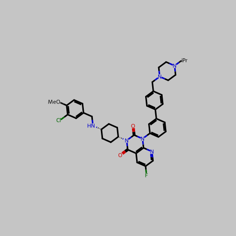 COc1ccc(CN[C@H]2CC[C@@H](n3c(=O)c4cc(F)cnc4n(-c4cccc(-c5ccc(CN6CCN(C(C)C)CC6)cc5)c4)c3=O)CC2)cc1Cl